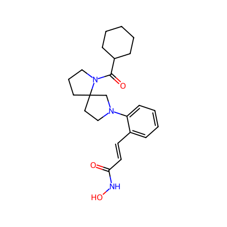 O=C(/C=C/c1ccccc1N1CCC2(CCCN2C(=O)C2CCCCC2)C1)NO